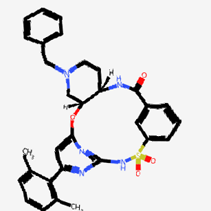 Cc1cccc(C)c1-c1cc2nc(n1)NS(=O)(=O)c1cccc(c1)C(=O)N[C@H]1CCN(Cc3ccccc3)C[C@H]1O2